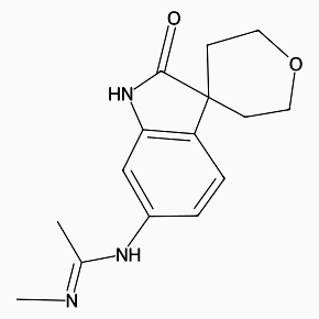 C/N=C(\C)Nc1ccc2c(c1)NC(=O)C21CCOCC1